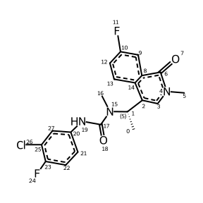 C[C@@H](c1cn(C)c(=O)c2cc(F)ccc12)N(C)C(=O)Nc1ccc(F)c(Cl)c1